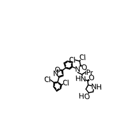 CC(C)C(CN(C(=O)C(Cl)Cl)c1cccc(-c2cc(-c3c(Cl)cccc3Cl)no2)c1)NC(=O)C1CC(O)CN1